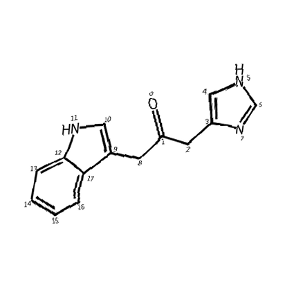 O=C(Cc1c[nH]cn1)Cc1c[nH]c2ccccc12